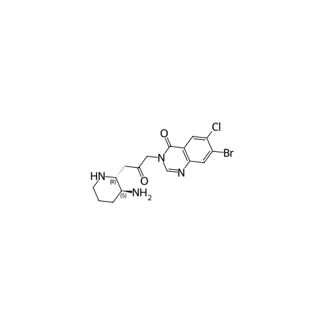 N[C@H]1CCCN[C@@H]1CC(=O)Cn1cnc2cc(Br)c(Cl)cc2c1=O